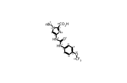 CCCCn1cc(NC(=O)Nc2ccc(OC(F)(F)F)cc2)nc1C(=O)O